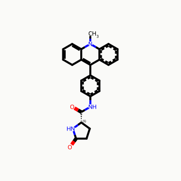 CN1C2=CC=CCC2=C(c2ccc(NC(=O)[C@@H]3CCC(=O)N3)cc2)c2ccccc21